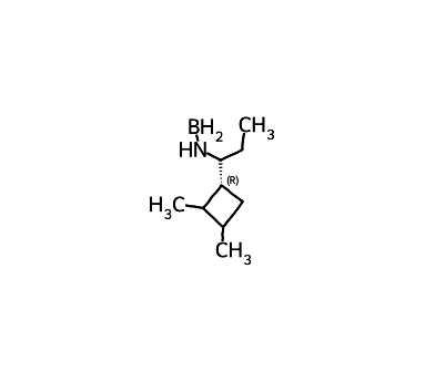 BNC(CC)[C@@H]1CC(C)C1C